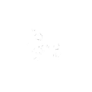 CCC1CC1(Nc1cc(-c2cc(OC)ccc2F)nc(-c2ccc(Cl)cc2)n1)C(=O)O